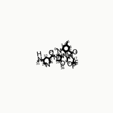 CNc1cc(C)cc(C(=O)N2CCOC(F)(F)C2)c1N[C@H]1CN(C(=O)C2=CN=CC(NC)C2)C[C@@H]1OC